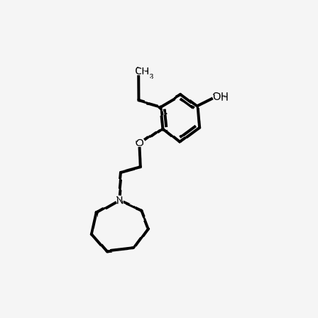 CCc1cc(O)ccc1OCCN1CCCCCC1